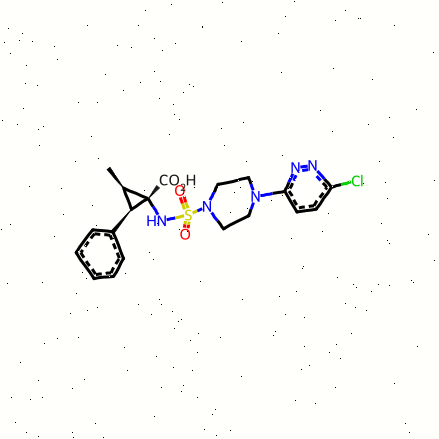 C[C@@H]1[C@H](c2ccccc2)[C@]1(NS(=O)(=O)N1CCN(c2ccc(Cl)nn2)CC1)C(=O)O